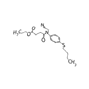 CCCCSc1ccc(N(CC#N)C(=O)CCC(=O)OCCC)cc1